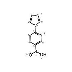 OB(O)c1ccc(-n2ccnc2)nc1